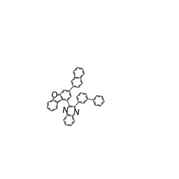 c1ccc(-c2cccc(-c3nc4ccccc4nc3-c3cc(-c4ccc5ccccc5c4)cc4oc5ccccc5c34)c2)cc1